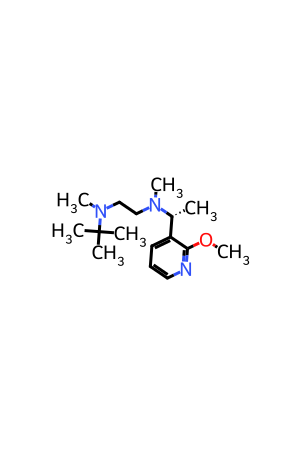 COc1ncccc1[C@@H](C)N(C)CCN(C)C(C)(C)C